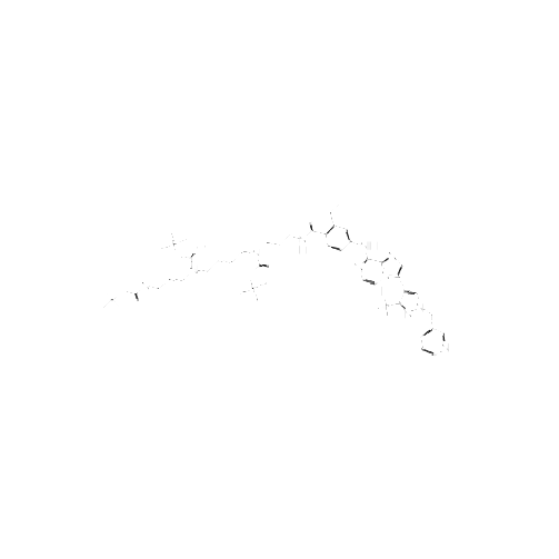 CCc1cc(Nc2nccn3c(-c4cn(Cc5cccnc5)nc4C(F)(F)F)cnc23)ccc1C(=O)NCCCN(CCCCN(CCCNC(=O)OC(C)(C)C)C(=O)OC(C)(C)C)C(=O)OC(C)(C)C